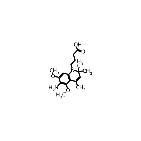 COc1cc2c(c(OC)c1N)C(C)=CC(C)(C)N2CCCC(=O)O